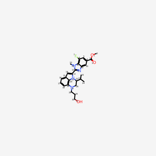 COC(=O)c1cc(F)c2c(c1)nc(-c1cc3cccc4c3n1C(C(C)C)CN4CCCO)n2C